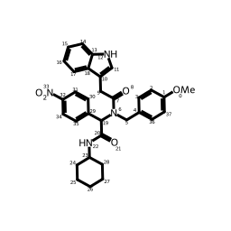 COc1ccc(CN(C(=O)Cc2c[nH]c3ccccc23)C(C(=O)NC2CCCCC2)c2ccc([N+](=O)[O-])cc2)cc1